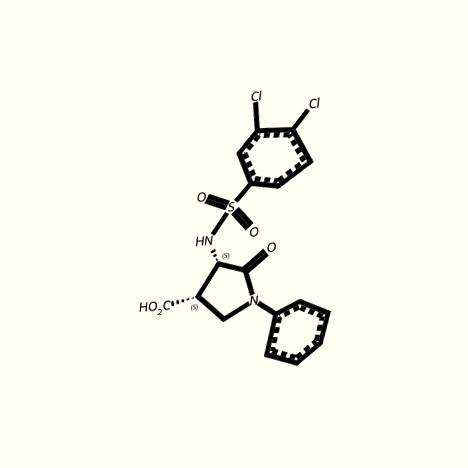 O=C(O)[C@H]1CN(c2ccccc2)C(=O)[C@H]1NS(=O)(=O)c1ccc(Cl)c(Cl)c1